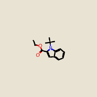 CCOC(=O)c1cc2ccccc2n1C(C)(C)C